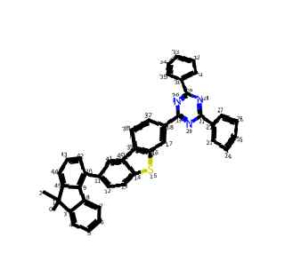 CC1(C)c2ccccc2-c2c(-c3ccc4sc5cc(-c6nc(-c7ccccc7)nc(-c7ccccc7)n6)ccc5c4c3)cccc21